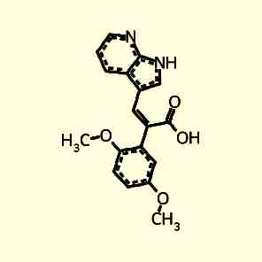 COc1ccc(OC)c(/C(=C/c2c[nH]c3ncccc23)C(=O)O)c1